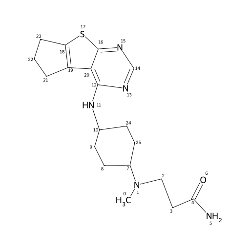 CN(CCC(N)=O)C1CCC(Nc2ncnc3sc4c(c23)CCC4)CC1